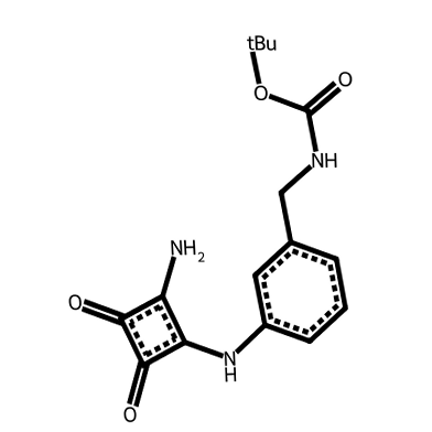 CC(C)(C)OC(=O)NCc1cccc(Nc2c(N)c(=O)c2=O)c1